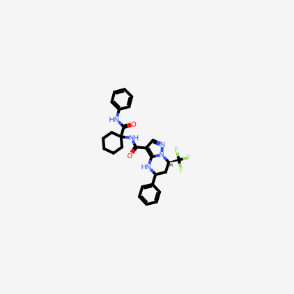 O=C(NC1(C(=O)Nc2ccccc2)CCCCC1)c1cnn2c1NC(c1ccccc1)C[C@@H]2C(F)(F)F